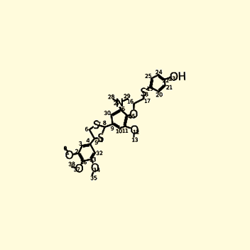 COc1cc(C2CSC(c3cc(OC)c(OCCSc4ccc(O)cc4)c(N(C)C)c3)S2)cc(OC)c1OC